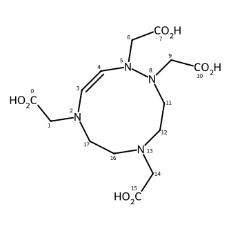 O=C(O)CN1C=CN(CC(=O)O)N(CC(=O)O)CCN(CC(=O)O)CC1